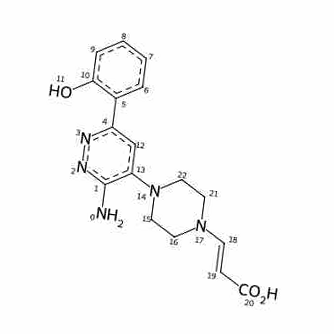 Nc1nnc(-c2ccccc2O)cc1N1CCN(/C=C/C(=O)O)CC1